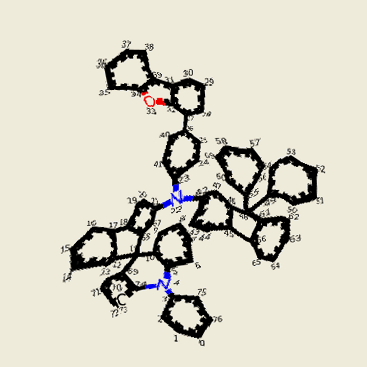 c1ccc(N2c3ccccc3C3(c4ccccc4-c4ccc(N(c5ccc(-c6cccc7c6oc6ccccc67)cc5)c5ccc6c(c5)C(c5ccccc5)(c5ccccc5)c5ccccc5-6)cc43)c3ccccc32)cc1